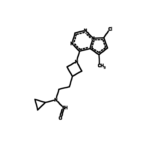 Cc1cc(Cl)n2ncnc(N3CC(CCN([SH]=O)C4CC4)C3)c12